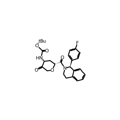 CC(C)(C)OC(=O)N[C@H]1C[C@H](C(=O)N2CCc3ccccc3[C@@H]2c2ccc(F)cc2)OCC1=O